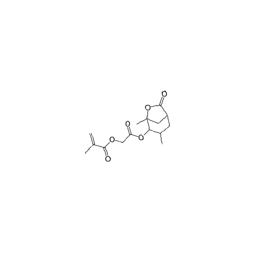 C=C(C)C(=O)OCC(=O)OC1C(C)CC2CC1(C)OC2=O